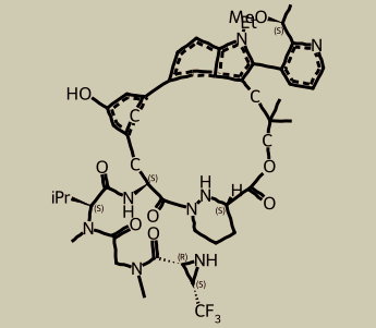 CCn1c(-c2cccnc2[C@H](C)OC)c2c3cc(ccc31)-c1cc(O)cc(c1)C[C@H](NC(=O)[C@H](C(C)C)N(C)C(=O)CN(C)C(=O)[C@@H]1N[C@@H]1C(F)(F)F)C(=O)N1CCC[C@H](N1)C(=O)OCC(C)(C)C2